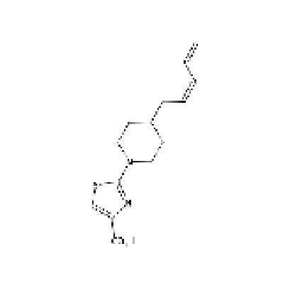 C=C/C=C\CC1CCN(c2nc(C(=O)O)cs2)CC1